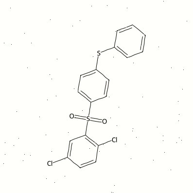 O=S(=O)(c1ccc(Sc2ccccc2)cc1)c1cc(Cl)ccc1Cl